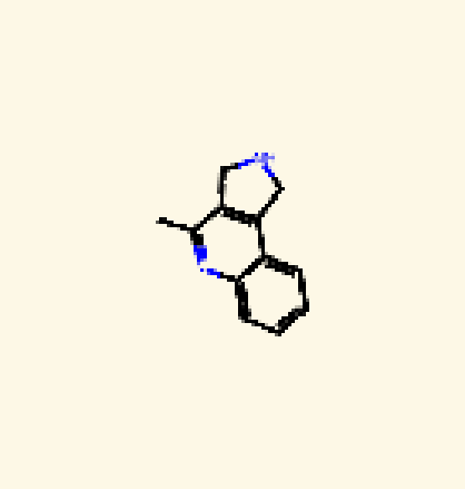 Cc1nc2ccccc2c2c1CNC2